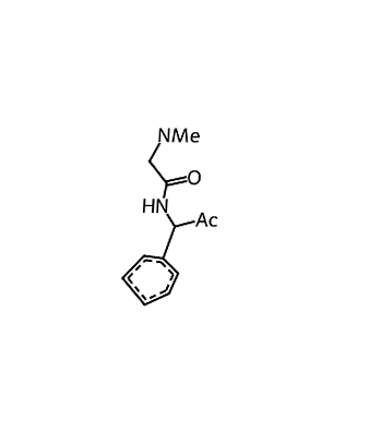 CNCC(=O)NC(C(C)=O)c1ccccc1